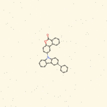 O=c1oc2ccc(-n3c4ccccc4c4cc(-c5ccccc5)ccc43)cc2c2ccccc12